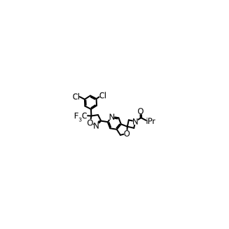 CC(C)C(=O)N1CC2(C1)OCc1cc(C3=NOC(c4cc(Cl)cc(Cl)c4)(C(F)(F)F)C3)ncc12